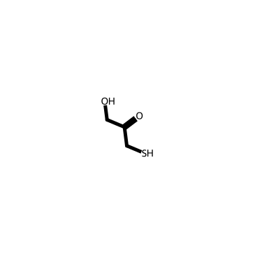 O=C(CO)CS